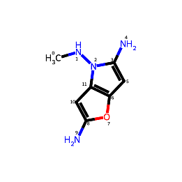 CNn1c(N)cc2oc(N)cc21